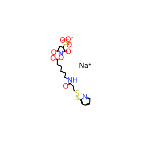 O=C(CCSSc1ccccn1)NCCCCCC(=O)ON1C(=O)CC(S(=O)(=O)[O-])C1=O.[Na+]